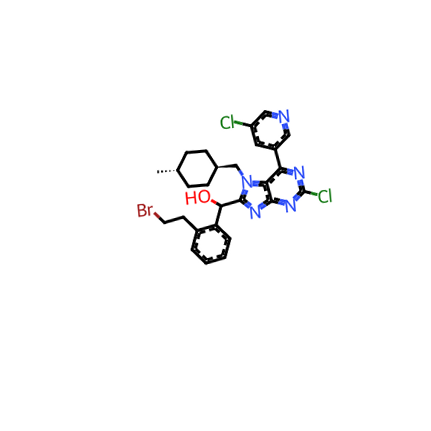 C[C@H]1CC[C@H](Cn2c(C(O)c3ccccc3CCBr)nc3nc(Cl)nc(-c4cncc(Cl)c4)c32)CC1